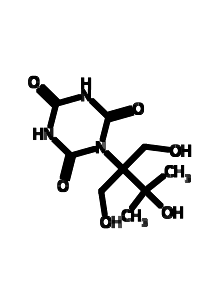 CC(C)(O)C(CO)(CO)n1c(=O)[nH]c(=O)[nH]c1=O